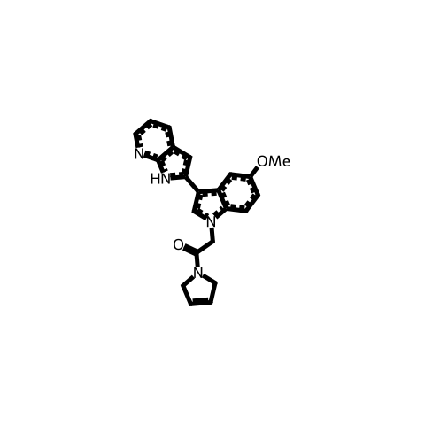 COc1ccc2c(c1)c(-c1cc3cccnc3[nH]1)cn2CC(=O)N1CC=CC1